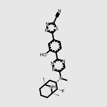 CN(c1cnc(-c2ccc(-c3nnc(C#N)s3)cc2O)nn1)[C@H]1C[C@]2(C)CCC[C@@](C)(N2)[C@H]1F